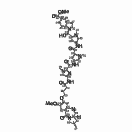 C=C1C[C@H]2C=Nc3cc(OCCCC(=O)Nc4cn(C)c(C(=O)Nc5cc(C(=O)Nc6cc(C(O)n7ccc8cc(C(=O)OC)ccc87)n(C)c6)n(C)c5)n4)c(OC)cc3C(=O)N2C1